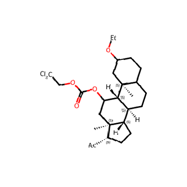 CCOC1CCC2CC[C@H]3[C@@H]4CC[C@H](C(C)=O)[C@@]4(C)CC(OC(=O)OCC(Cl)(Cl)Cl)[C@@H]3[C@@]2(C)C1